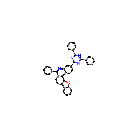 c1ccc(-c2nc(-c3ccccc3)nc(-c3ccc4c(c3)nc(-c3ccccc3)c3ccc5c6ccccc6oc5c34)n2)cc1